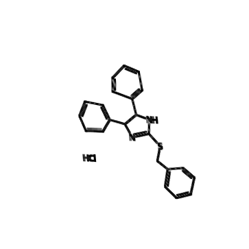 Cl.c1ccc(CSC2=NC(c3ccccc3)C(c3ccccc3)N2)cc1